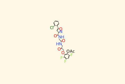 CC(=O)Oc1c(F)cc(F)c(F)c1OCC(=O)CNC(=O)CNC(=O)c1cc(-c2ccccc2Cl)on1